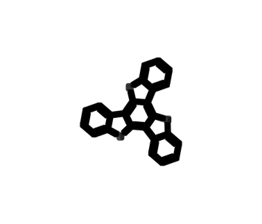 c1ccc2c(c1)oc1c2c2oc3ccccc3c2c2oc3ccccc3c12